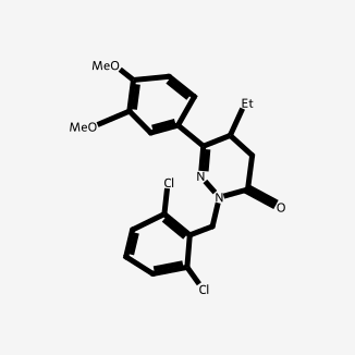 CCC1CC(=O)N(Cc2c(Cl)cccc2Cl)N=C1c1ccc(OC)c(OC)c1